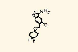 Nc1noc2cc(COC3CCC(F)(F)CC3)c(Cl)cc12